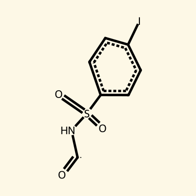 O=[C]NS(=O)(=O)c1ccc(I)cc1